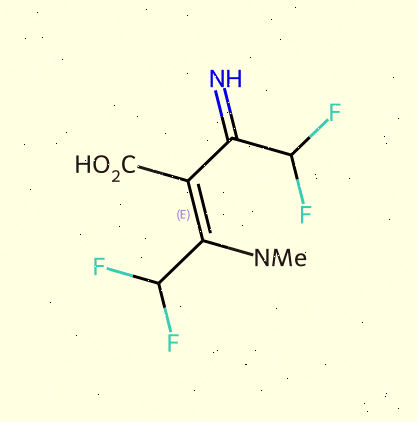 CN/C(=C(\C(=N)C(F)F)C(=O)O)C(F)F